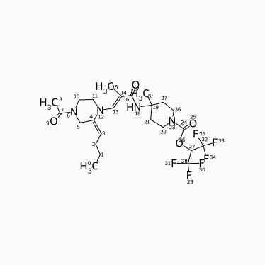 CCC/C=C1\CN(C(C)=O)CCN1/C=C(\C)C(=O)NC1(C)CCN(C(=O)OC(C(F)(F)F)C(F)(F)F)CC1